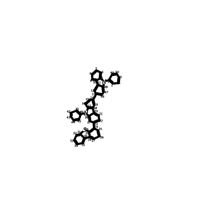 c1ccc(-n2c3ccccc3c3cc(-c4ccc5c(c4)c4ccc(-c6cccc7c6sc6ccccc67)cc4n5-c4ccccc4)ccc32)cc1